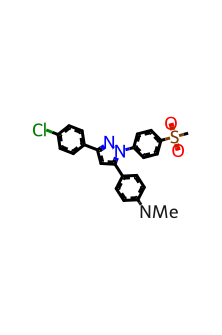 CNc1ccc(-c2cc(-c3ccc(Cl)cc3)nn2-c2ccc(S(C)(=O)=O)cc2)cc1